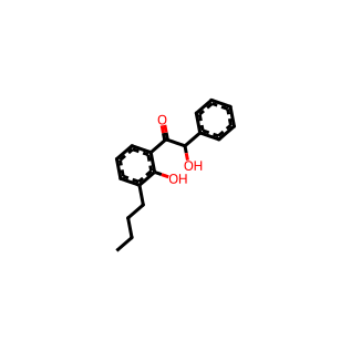 CCCCc1cccc(C(=O)C(O)c2ccccc2)c1O